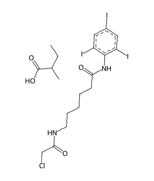 CCC(C)C(=O)O.O=C(CCl)NCCCCCC(=O)Nc1c(I)cc(I)cc1I